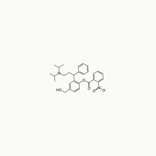 CC(C)N(CCC(c1ccccc1)c1cc(CO)ccc1OC(=O)c1ccccc1[N+](=O)[O-])C(C)C